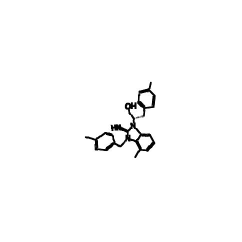 Cc1ccc(C[C@@H](CO)n2c(=N)n(Cc3ccc(C)cc3)c3c(C)cccc32)cc1